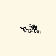 C#Cc1ccc(N2CC[C@@H](C)[C@@H](n3c(=O)[nH]c4nnc5[nH]ccc5c43)C2)nc1